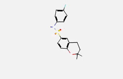 CN(c1ccc(F)cc1)S(=O)(=O)c1ccc2c(c1)CCC(C)(C)O2